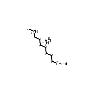 CCCCCCCCCCCCCCPC.Cl.N